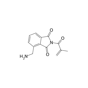 C=C(C)C(=O)N1C(=O)c2cccc(CN)c2C1=O